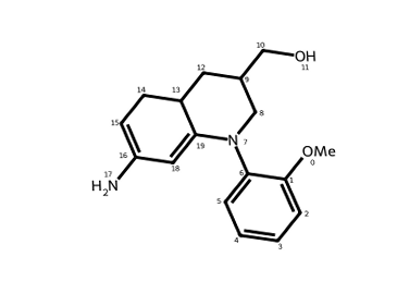 COc1ccccc1N1CC(CO)CC2CC=C(N)C=C21